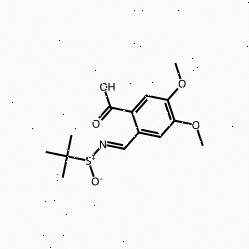 COc1cc(C=N[S+]([O-])C(C)(C)C)c(C(=O)O)cc1OC